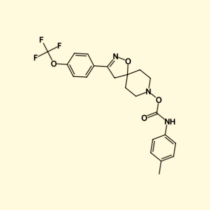 Cc1ccc(NC(=O)ON2CCC3(CC2)CC(c2ccc(OC(F)(F)F)cc2)=NO3)cc1